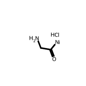 Cl.NC[C](=O)[Ni]